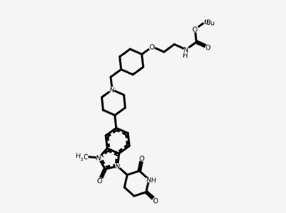 Cn1c(=O)n(C2CCC(=O)NC2=O)c2ccc(C3CCN(CC4CCC(OCCNC(=O)OC(C)(C)C)CC4)CC3)cc21